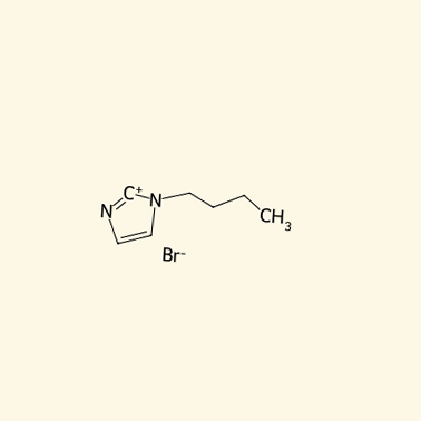 CCCCN1[C+]=NC=C1.[Br-]